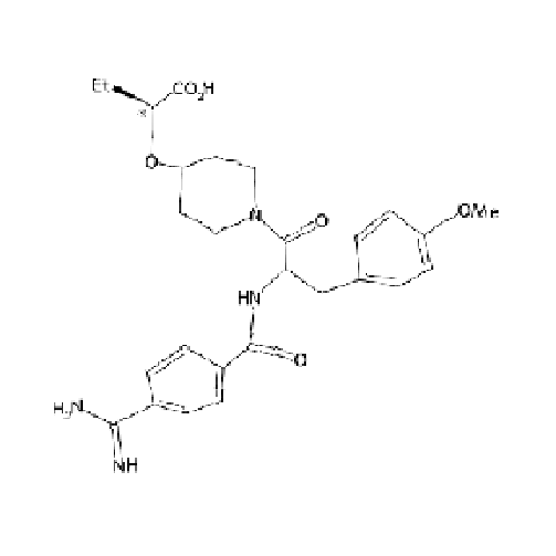 CC[C@H](OC1CCN(C(=O)C(Cc2ccc(OC)cc2)NC(=O)c2ccc(C(=N)N)cc2)CC1)C(=O)O